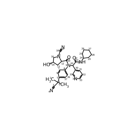 CC(C)(C#N)c1ccc(N(C(=O)C2CC(O)CN2C#N)C(C(=O)NC2CCCCC2)c2cccnc2)cc1